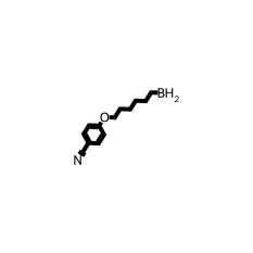 BCCCCCCOc1ccc(C#N)cc1